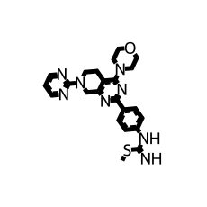 CSC(=N)Nc1ccc(-c2nc3c(c(N4CCOCC4)n2)CCN(c2ncccn2)C3)cc1